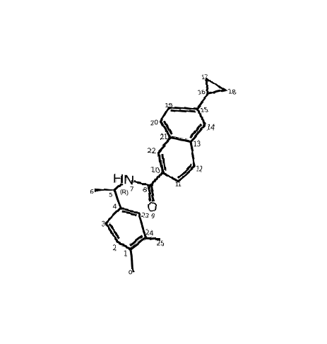 Cc1ccc([C@@H](C)NC(=O)c2ccc3cc(C4CC4)ccc3c2)cc1C